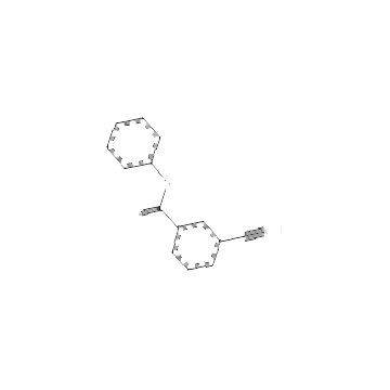 C#Cc1cccc(C(=O)Nc2ccccc2)c1